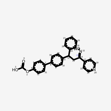 O=C(O)Oc1ccc(-c2ccc(C(C/C(=N\O)c3ccncc3)c3ccccc3)cc2)cc1